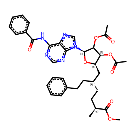 COC(=O)[C@@H](C)CC[C@H](CCc1ccccc1)C[C@H]1O[C@@H](n2cnc3c(NC(=O)c4ccccc4)ncnc32)C(OC(C)=O)[C@H]1OC(C)=O